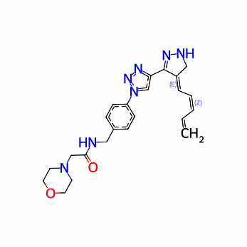 C=C/C=C\C=C1/CNN=C1c1cn(-c2ccc(CNC(=O)CN3CCOCC3)cc2)nn1